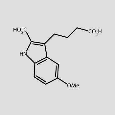 COc1ccc2[nH]c(C(=O)O)c(CCCC(=O)O)c2c1